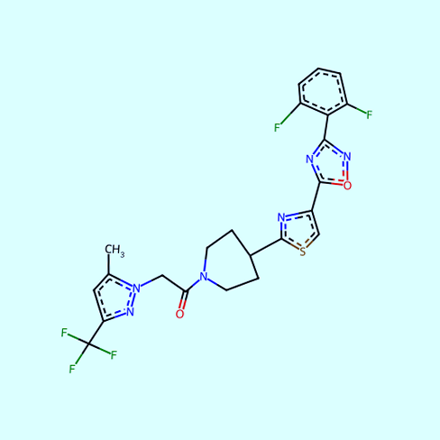 Cc1cc(C(F)(F)F)nn1CC(=O)N1CCC(c2nc(-c3nc(-c4c(F)cccc4F)no3)cs2)CC1